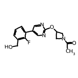 CC(=O)N1CC(Oc2ncc(-c3cccc(CO)c3F)cn2)C1